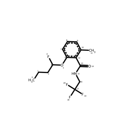 CCCC(F)Oc1cccc(C)c1C(=O)NCC(F)(F)F